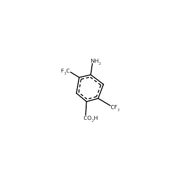 Nc1cc(C(F)(F)F)c(C(=O)O)cc1C(F)(F)F